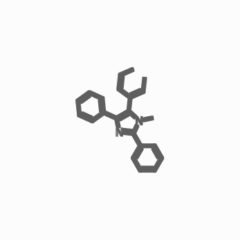 C/C=C\C(=C/C)c1c(-c2ccccc2)nc(-c2ccccc2)n1C